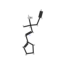 C#CCC(C)(O)/C=C/C1=CCCC1